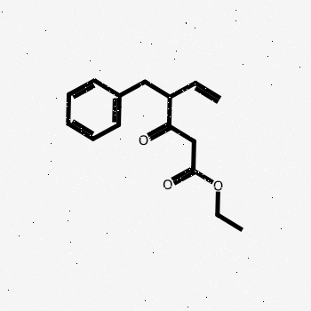 C=CC(Cc1ccccc1)C(=O)CC(=O)OCC